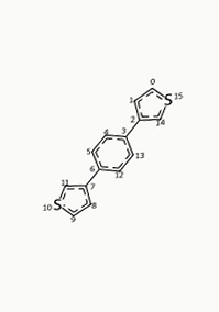 c1cc(-c2ccc(-c3ccsc3)cc2)cs1